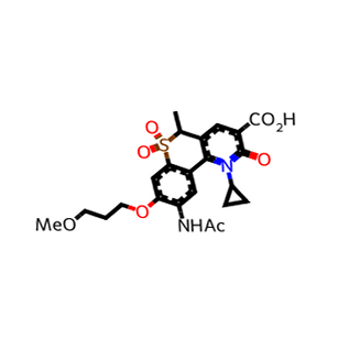 COCCCOc1cc2c(cc1NC(C)=O)-c1c(cc(C(=O)O)c(=O)n1C1CC1)C(C)S2(=O)=O